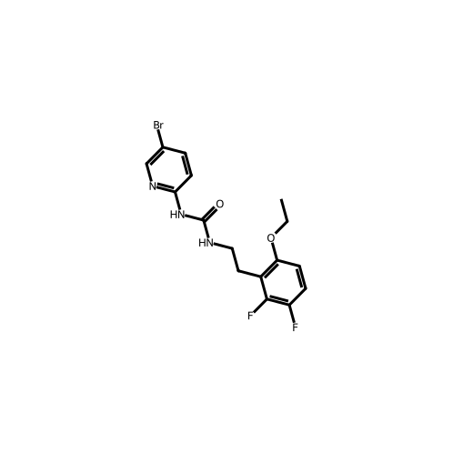 CCOc1ccc(F)c(F)c1CCNC(=O)Nc1ccc(Br)cn1